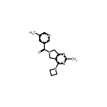 Cc1cncc(C(=O)N2Cc3nc(C)nc(N4CCC4)c3C2)c1